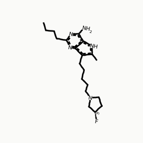 CCCCc1nc(N)c2[nH]c(C)c(CCCCCN3CC[C@@H](F)C3)c2n1